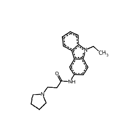 CCn1c2ccccc2c2cc(NC(=O)CCN3CCCC3)ccc21